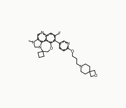 CN1CN2c3c1cnc1cc(F)c(-c4ccc(OCCCN5CCC6(CC5)COC6)nc4)c(c31)OCC21CCC1